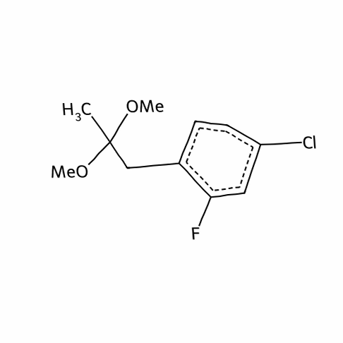 COC(C)(Cc1ccc(Cl)cc1F)OC